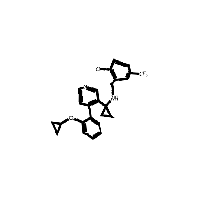 FC(F)(F)c1ccc(Cl)c(CNC2(c3cnccc3-c3ccccc3OC3CC3)CC2)c1